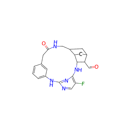 O=CC1C2CC3CNC(=O)Cc4cccc(c4)Nc4ncc(F)c(n4)NC1C3C2